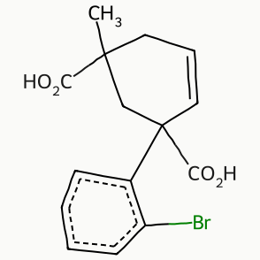 CC1(C(=O)O)CC=CC(C(=O)O)(c2ccccc2Br)C1